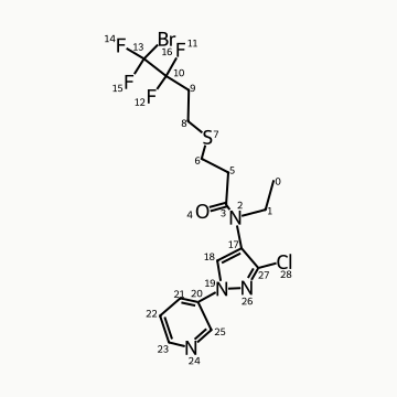 CCN(C(=O)CCSCCC(F)(F)C(F)(F)Br)c1cn(-c2cccnc2)nc1Cl